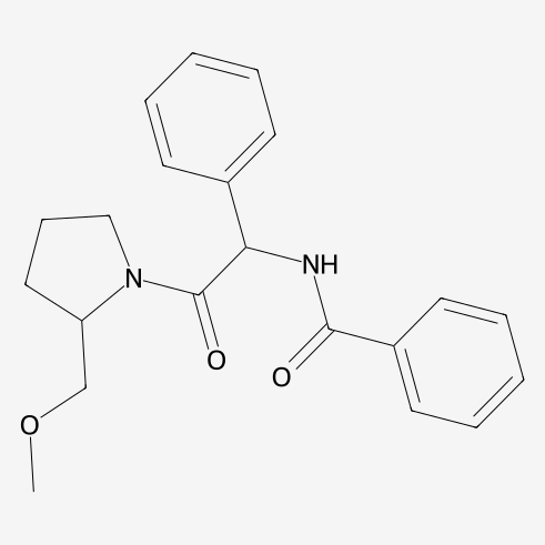 COCC1CCCN1C(=O)C(NC(=O)c1ccccc1)c1ccccc1